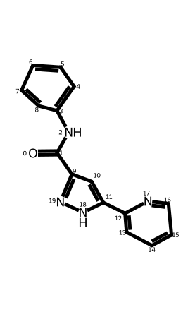 O=C(Nc1ccccc1)c1cc(-c2ccccn2)[nH]n1